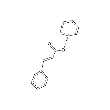 O=C(C=Cc1ccccc1)Oc1ccccc1